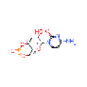 C[C@@H]1O[PH](=O)OC[C@H]1O[C@H](CO)n1ccc(N)nc1=O